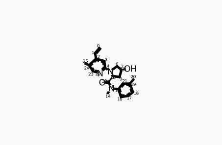 C=Cc1cc(N2C[C@@H](O)C[C@H]2C(=O)N(C)c2cccc(C)c2)ncc1C